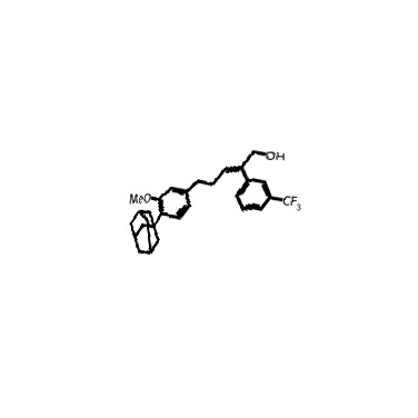 COc1cc(CCC=C(CO)c2cccc(C(F)(F)F)c2)ccc1C12CC3CC(CC(C3)C1)C2